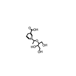 CC(OC(CO)C(O)CO)N1C=CCC(C(=O)O)=C1